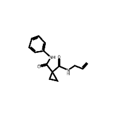 C=CCNC(=O)C1(C(=O)Nc2ccccc2)CC1